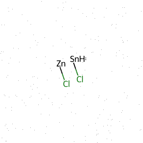 [Cl][SnH].[Cl][Zn]